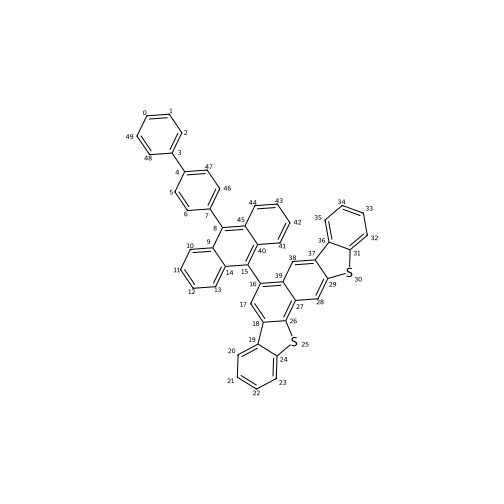 c1ccc(-c2ccc(-c3c4ccccc4c(-c4cc5c6ccccc6sc5c5cc6sc7ccccc7c6cc45)c4ccccc34)cc2)cc1